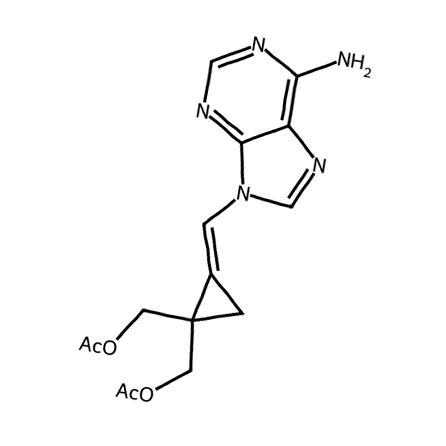 CC(=O)OCC1(COC(C)=O)CC1=Cn1cnc2c(N)ncnc21